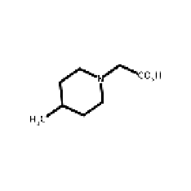 CC1CCN(CC(=O)O)CC1